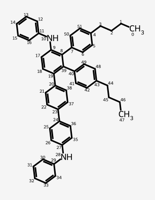 CCCCc1ccc(-c2c(Nc3ccccc3)ccc(-c3ccc(-c4ccc(Nc5ccccc5)cc4)cc3)c2-c2ccc(CCCC)cc2)cc1